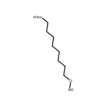 CCCCCCCCCCCCCCON=O